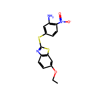 CCOc1ccc2nc(Sc3ccc([N+](=O)[O-])c(N)c3)sc2c1